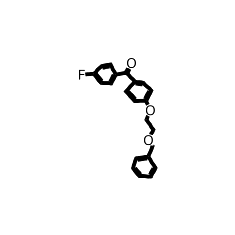 O=C(c1ccc(F)cc1)c1ccc(OCCOCc2ccccc2)cc1